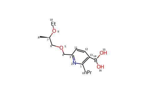 CCCc1nc(COC[C@@H](C)OCC)ccc1B(O)O